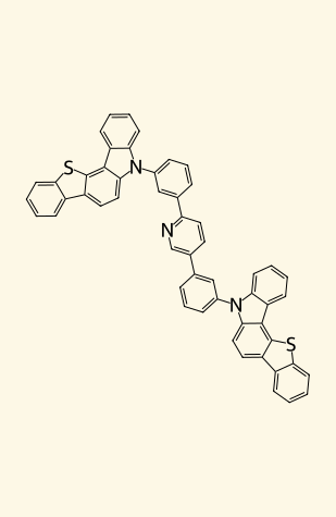 c1cc(-c2ccc(-c3cccc(-n4c5ccccc5c5c6sc7ccccc7c6ccc54)c3)nc2)cc(-n2c3ccccc3c3c4sc5ccccc5c4ccc32)c1